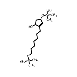 CC(C)(C)[Si](C)(C)OCCCCCCCC1=C[C@@H](O[Si](C)(C)C(C)(C)C)CC1O